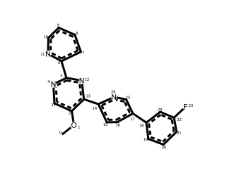 COc1[c]nc(-c2ccccn2)nc1-c1ccc(-c2cccc(F)c2)cn1